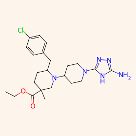 CCOC(=O)C1(C)CCC(Cc2ccc(Cl)cc2)N(C2CCN(c3nnc(N)[nH]3)CC2)C1